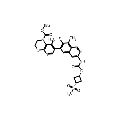 Cc1c(-c2cc3cc(NC(=O)O[C@H]4C[C@@H](S(C)(=O)=O)C4)ncc3c(C)c2F)cnc2c1N(C(=O)OC(C)(C)C)CCO2